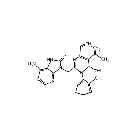 C=CC1=C(C(=C)C)C(O)N(C2=CCCC=C2C)C(Cn2c(=O)[nH]c3c(N)ncnc32)=N1